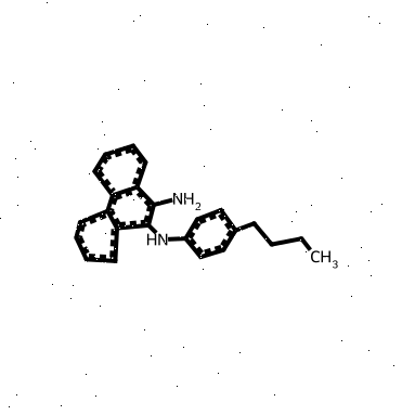 CCCCc1ccc(Nc2c(N)c3ccccc3c3ccccc23)cc1